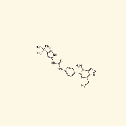 CCc1nc(-c2ccc(NC(=O)Nc3cc(C(C)(C)C)n[nH]3)cc2)n(N)c2cnnc1-2